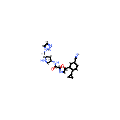 N#Cc1ccc(C2CC2)c(-c2cnc(C(=O)N[C@H]3CN[C@H](Cn4ccnn4)C3)o2)c1